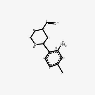 Cc1ccc(C2CC(C=O)CCO2)c(N)c1